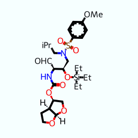 CC[Si](CC)(CC)O[C@H](CN(CC(C)C)S(=O)(=O)c1ccc(OC)cc1)[C@H](C=O)NC(=O)O[C@H]1CO[C@H]2OCC[C@H]21